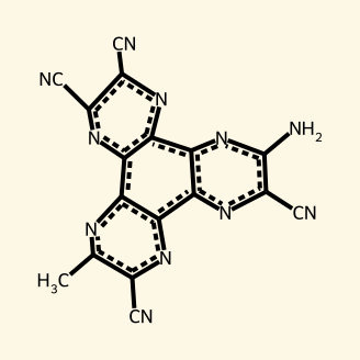 Cc1nc2c(nc1C#N)c1nc(C#N)c(N)nc1c1nc(C#N)c(C#N)nc21